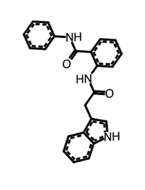 O=C(Cc1c[nH]c2ccccc12)Nc1ccccc1C(=O)Nc1ccccc1